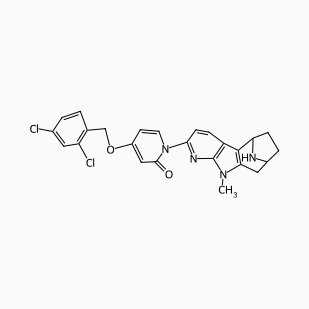 Cn1c2c(c3ccc(-n4ccc(OCc5ccc(Cl)cc5Cl)cc4=O)nc31)C1CCC(C2)N1